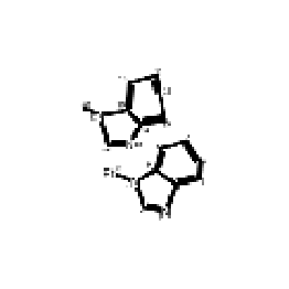 CCn1cnc2ccccc21.Cn1cnc2ccccc21